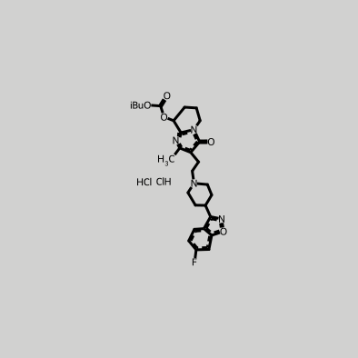 Cc1nc2n(c(=O)c1CCN1CCC(c3noc4cc(F)ccc34)CC1)CCCC2OC(=O)OCC(C)C.Cl.Cl